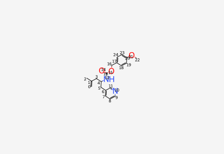 C=C(C)CC(Cc1cccnc1)NC(=O)OCc1ccc(OC)cc1